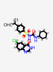 CCC(C=O)c1ccc(S(=O)(=O)NC(=O)NC2CCCCC2)cc1.O=c1[nH]cnc2ccc(Cl)cc12